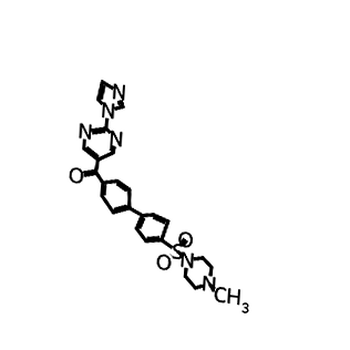 CN1CCN(S(=O)(=O)c2ccc(-c3ccc(C(=O)c4cnc(-n5ccnc5)nc4)cc3)cc2)CC1